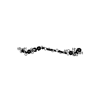 CC(C)(C)OC(=O)CNC(=O)c1ccc(S(=O)(=O)N2CCC(c3ccc(OCCOCCOCCOCCOCCOCCOCCOc4cc(C(C)(C)C)c(NC(=O)c5c[nH]c6ccccc6c5=O)cc4O)cc3)CC2)cc1